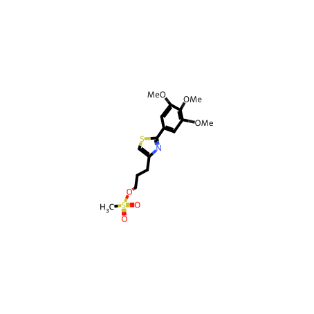 COc1cc(-c2nc(CCCOS(C)(=O)=O)cs2)cc(OC)c1OC